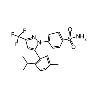 Cc1ccc(C(C)C)c(-c2cc(C(F)(F)F)nn2-c2ccc(S(N)(=O)=O)cc2)c1